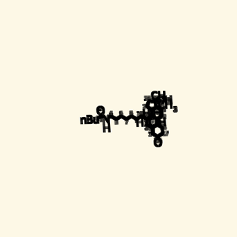 CCCCC(=O)NCCCCCCCC1CC2=CC(=O)CC[C@]2(C)[C@@H]2CC[C@@]3(C)[C@@H](CCC3(C)O)[C@H]12